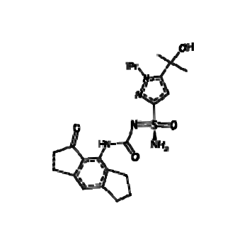 CC(C)n1nc([S@](N)(=O)=NC(=O)Nc2c3c(cc4c2C(=O)CC4)CCC3)cc1C(C)(C)O